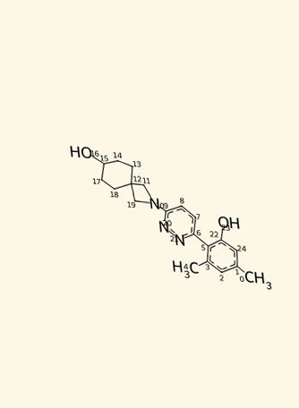 Cc1cc(C)c(-c2ccc(N3CC4(CCC(O)CC4)C3)nn2)c(O)c1